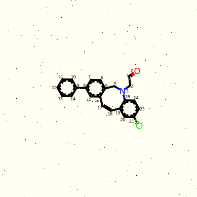 O=CCN1Cc2ccc(-c3ccccc3)cc2C=Cc2cc(Cl)ccc21